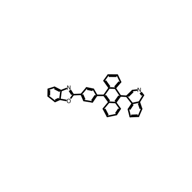 c1ccc2c(-c3c4ccccc4c(-c4ccc(-c5nc6ccccc6o5)cc4)c4ccccc34)cncc2c1